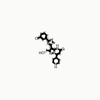 Cc1nn2c(C3CCNCC3)cc(=O)[nH]c2c1-c1nc(-c2cccc(Cl)c2)no1.Cl